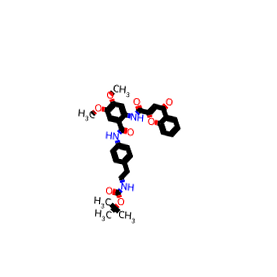 COc1cc(NC(=O)c2cc(=O)c3ccccc3o2)c(C(=O)Nc2ccc(CCNC(=O)OC(C)(C)C)cc2)cc1OC